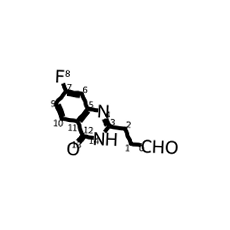 O=CCCc1nc2cc(F)ccc2c(=O)[nH]1